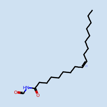 CCCCCCCC/C=C\CCCCCCCC(=O)N[C]=O